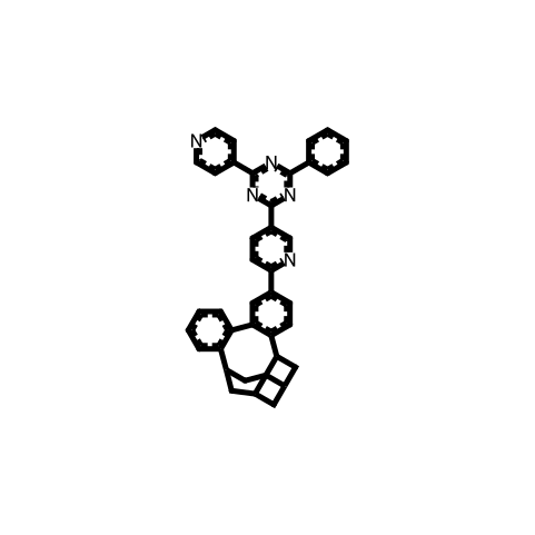 c1ccc(-c2nc(-c3ccncc3)nc(-c3ccc(-c4ccc5c(c4)-c4ccccc4C4CC6CC7CC5C67C4)nc3)n2)cc1